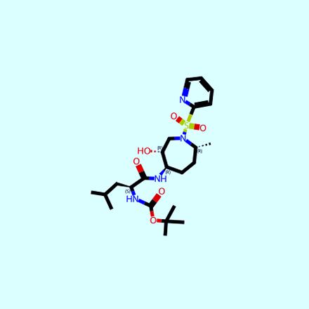 CC(C)C[C@H](NC(=O)OC(C)(C)C)C(=O)N[C@@H]1CC[C@@H](C)N(S(=O)(=O)c2ccccn2)C[C@H]1O